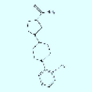 N#Cc1ccccc1N1CCC(N2CCC(C(N)=O)C2)CC1